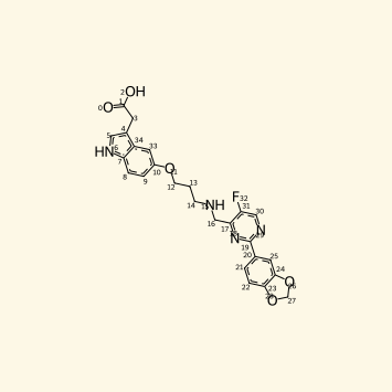 O=C(O)Cc1c[nH]c2ccc(OCCCNCc3nc(-c4ccc5c(c4)OCO5)ncc3F)cc12